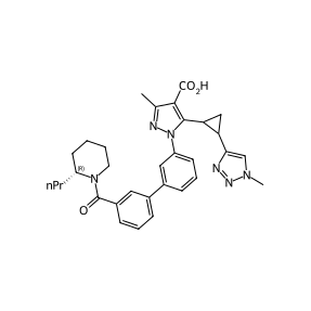 CCC[C@@H]1CCCCN1C(=O)c1cccc(-c2cccc(-n3nc(C)c(C(=O)O)c3C3CC3c3cn(C)nn3)c2)c1